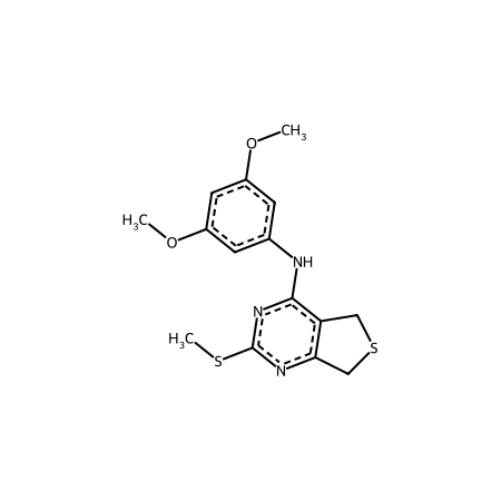 COc1cc(Nc2nc(SC)nc3c2CSC3)cc(OC)c1